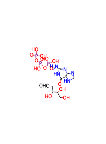 Nc1nc2nc[nH]c2c(=O)[nH]1.O=CCC(O)C(O)CO.O=P(O)(O)OP(=O)(O)OP(=O)(O)O